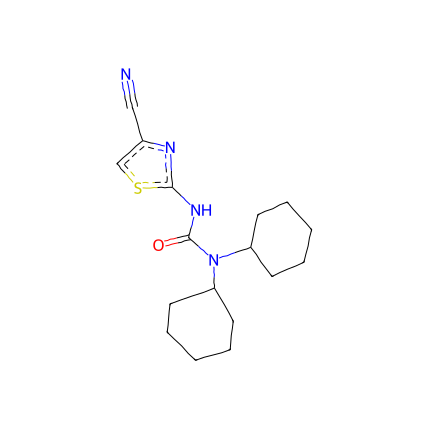 N#Cc1csc(NC(=O)N(C2CCCCC2)C2CCCCC2)n1